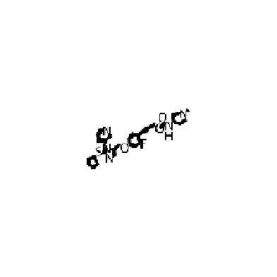 CN1CCC(NC(=O)OCC#Cc2ccc(OCc3cnc(SC4CCCC4)n3-c3cccnc3)cc2F)CC1